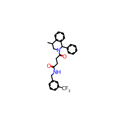 CC1CN(C(=O)CCC(=O)NCc2cccc(C(F)(F)F)c2)C(c2ccccc2)c2ccccc21